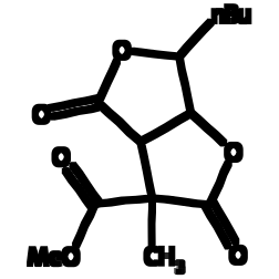 CCCCC1OC(=O)C2C1OC(=O)C2(C)C(=O)OC